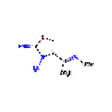 CON=C(C(=O)O)c1csc(=N)n1N